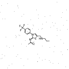 CCCNCc1cn(-c2ccc(C(F)(F)F)cc2)/c(=N/C(C)=O)s1